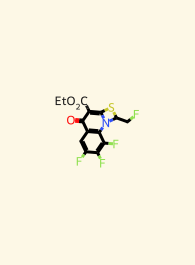 CCOC(=O)c1c2n(c3c(F)c(F)c(F)cc3c1=O)C(CF)S2